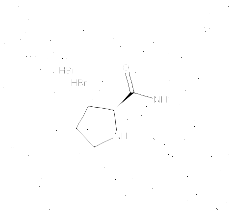 Br.Br.NC(=O)[C@@H]1CCCN1